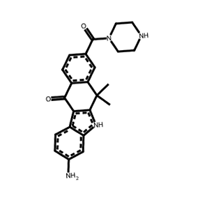 CC1(C)c2cc(C(=O)N3CCNCC3)ccc2C(=O)c2c1[nH]c1cc(N)ccc21